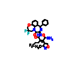 Cc1nocc1[C@H](C(N)=O)[C@@H](CCC(F)(F)F)C(=O)N[C@H]1N=C(c2ccccc2)c2cccc3c2N(CC(F)(F)CO3)C1=O